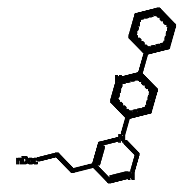 CCCCCCCCCCCCC1=CN(c2ccc(-c3ccccc3)nc2)CN=C1